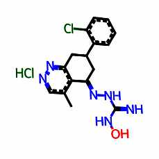 Cc1cnnc2c1C(=NNC(=N)NO)CC(c1ccccc1Cl)C2.Cl